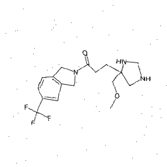 COCC1(CCC(=O)N2Cc3ccc(C(F)(F)F)cc3C2)CNCN1